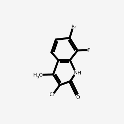 Cc1c(Cl)c(=O)[nH]c2c(F)c(Br)ccc12